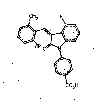 CCCc1cccc(C)c1/C=C1\C(=O)N(c2ccc(C(=O)O)cc2)c2cccc(F)c21